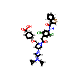 O=C(Nc1cc(Cl)c(CC(=O)N2C[C@@H](N3CC(N(C4CC4)C4CC4)C3)C[C@H]2CO[C@H]2CC[C@H](C(=O)O)CC2)cc1Cl)c1csc2ccccc12